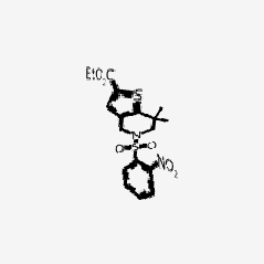 CCOC(=O)c1cc2c(s1)C(C)(C)CN(S(=O)(=O)c1ccccc1[N+](=O)[O-])C2